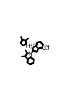 CC1=CC[C]([Hf+2][CH]2C(n3c(C)c(C)c4ccccc43)=Cc3ccccc32)=C1C.[Cl-].[Cl-]